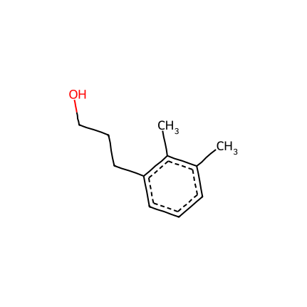 Cc1cccc(CCCO)c1C